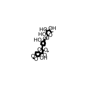 COc1c(-c2ccc(OOC3O[C@H](C)[C@@H](O)[C@H](O)[C@H]3O)c(O)c2)oc2cc3c(c(O)c2c1=O)OCO3